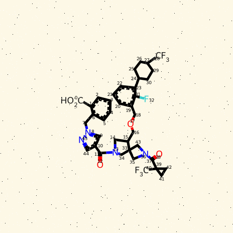 O=C(O)c1ccccc1Cn1cc(C(=O)N2CC(COCc3cccc(C4CCC(C(F)(F)F)CC4)c3F)C3(C2)CN(C(=O)C2(C(F)(F)F)CC2)C3)cn1